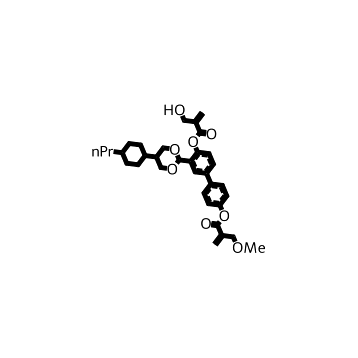 C=C(COC)C(=O)Oc1ccc(-c2ccc(OC(=O)C(=C)CO)c(C3OCC(C4CCC(CCC)CC4)CO3)c2)cc1